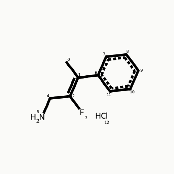 CC(=C(F)CN)c1ccccc1.Cl